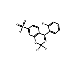 CCC1(CC)N=C(c2ccccc2F)c2ccc(S(=O)(=O)Cl)cc2O1